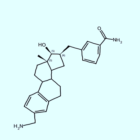 C[C@]12CCC3c4ccc(CN)cc4CCC3C1C[C@H](Cc1cccc(C(N)=O)c1)[C@@H]2O